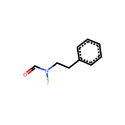 O=CN(F)CCc1ccccc1